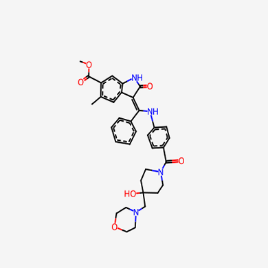 COC(=O)c1cc2c(cc1C)/C(=C(/Nc1ccc(C(=O)N3CCC(O)(CN4CCOCC4)CC3)cc1)c1ccccc1)C(=O)N2